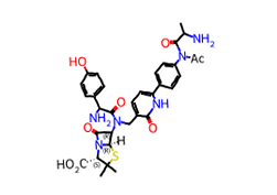 CC(=O)N(C(=O)C(C)N)c1ccc(-c2ccc(CN(C(=O)C(N)c3ccc(O)cc3)[C@@H]3C(=O)N4[C@@H]3SC(C)(C)[C@@H]4C(=O)O)c(=O)[nH]2)cc1